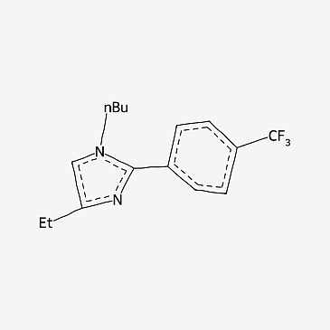 CCCCn1cc(CC)nc1-c1ccc(C(F)(F)F)cc1